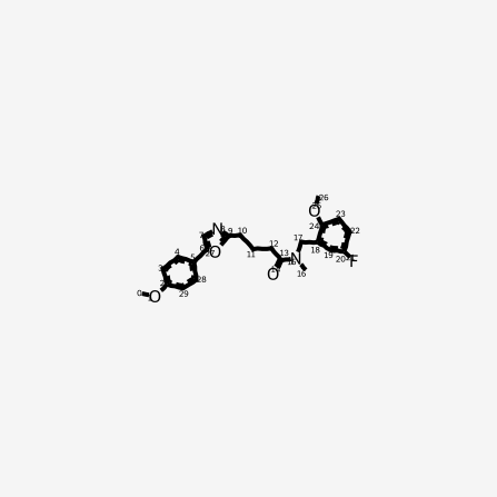 COc1ccc(-c2cnc(CCCC(=O)N(C)Cc3cc(F)ccc3OC)o2)cc1